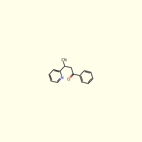 N#CC(CC(=O)c1ccccc1)c1ccccn1